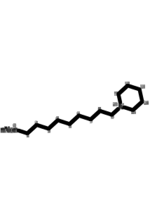 CCCCCCCCCCCCCCCCCCN1CCCCC1